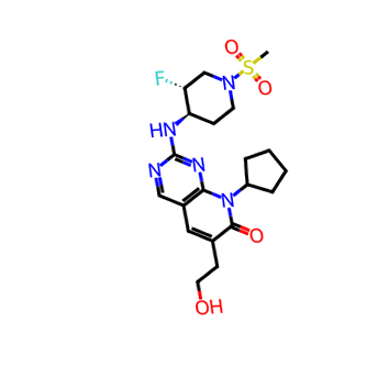 CS(=O)(=O)N1CC[C@@H](Nc2ncc3cc(CCO)c(=O)n(C4CCCC4)c3n2)[C@H](F)C1